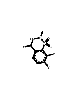 CCC1NN(C)S(=O)(=O)c2c1ccc(Cl)c2Cl